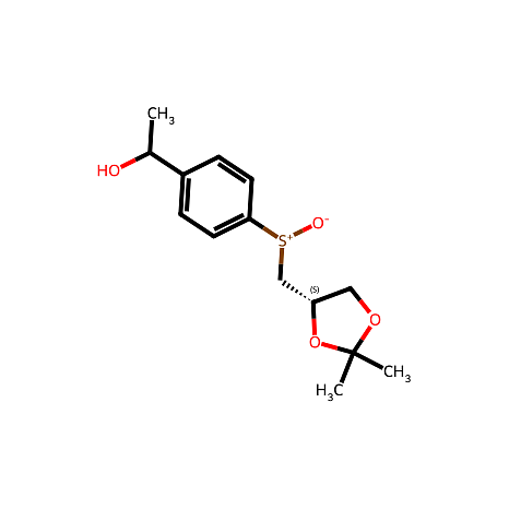 CC(O)c1ccc([S+]([O-])C[C@@H]2COC(C)(C)O2)cc1